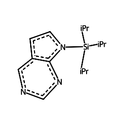 CC(C)[Si](C(C)C)(C(C)C)n1ccc2cncnc21